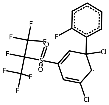 O=S(=O)(C1=CC(Cl)(c2ccccc2F)[CH]C(Cl)=C1)C(F)(C(F)(F)F)C(F)(F)F